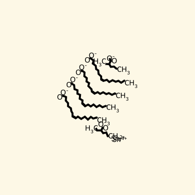 CCCCC(CC)C(=O)[O-].CCCCC(CC)C(=O)[O-].CCCCCCCC/C=C\CCCCCCCC(=O)[O-].CCCCCCCC/C=C\CCCCCCCC(=O)[O-].CCCCCCCC/C=C\CCCCCCCC(=O)[O-].CCCCCCCC/C=C\CCCCCCCC(=O)[O-].[Sn+2].[Sn+4]